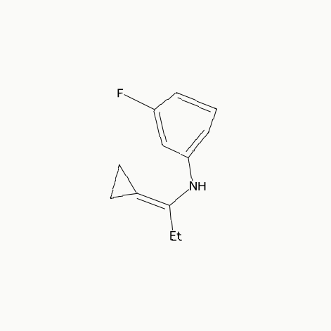 CCC(Nc1cccc(F)c1)=C1CC1